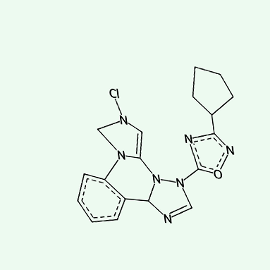 ClN1C=C2N(C1)c1ccccc1C1N=CN(c3nc(C4CCCC4)no3)N21